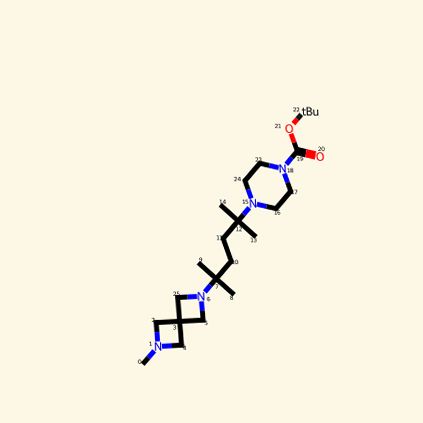 CN1CC2(C1)CN(C(C)(C)CCC(C)(C)N1CCN(C(=O)OC(C)(C)C)CC1)C2